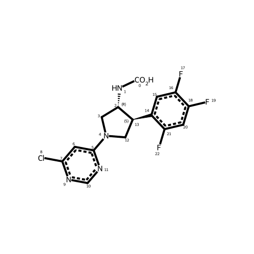 O=C(O)N[C@H]1CN(c2cc(Cl)ncn2)C[C@@H]1c1cc(F)c(F)cc1F